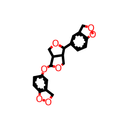 c1cc2c(cc1OC1OCC3C(c4ccc5c(c4)COO5)OCC13)COO2